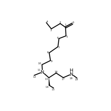 C=C(CCC)CCCCCCN(C)[C@H](CC)CCNC